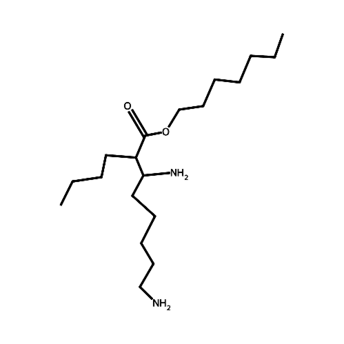 CCCCCCCOC(=O)C(CCCC)C(N)CCCCCN